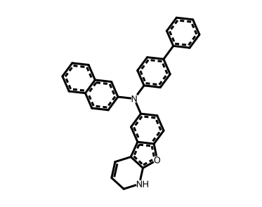 C1=Cc2c(oc3ccc(N(c4ccc(-c5ccccc5)cc4)c4ccc5ccccc5c4)cc23)NC1